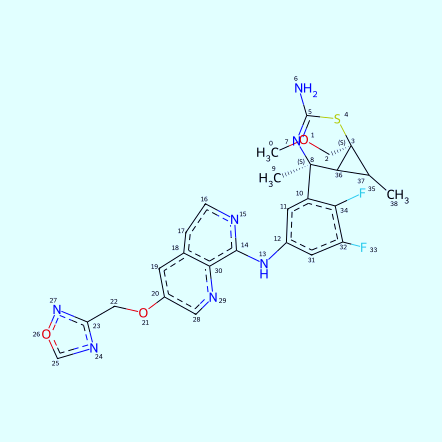 COC[C@@]12SC(N)=N[C@](C)(c3cc(Nc4nccc5cc(OCc6ncon6)cnc45)cc(F)c3F)C1C2C